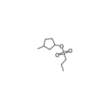 CCCS(=O)(=O)OC1CCC(C)C1